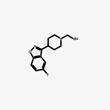 CC(C)(C)CN1CCC(c2noc3ccc(F)cc23)CC1